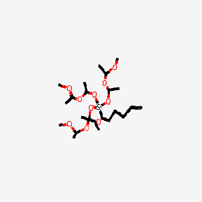 CCCCCC(=O)[Si](OC(C)OC(C)OC)(OC(C)OC(C)OC)OC(C)(CC)OC(C)OC